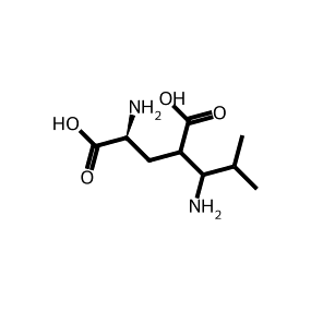 CC(C)C(N)C(C[C@H](N)C(=O)O)C(=O)O